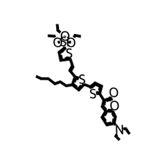 CCCCCCc1cc(-c2ccc(-c3cc4ccc(N(CC)CC)cc4oc3=O)s2)sc1/C=C/c1ccc([Si](OCC)(OCC)OCC)s1